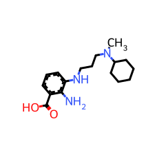 CN(CCCNc1cccc(C(=O)O)c1N)C1CCCCC1